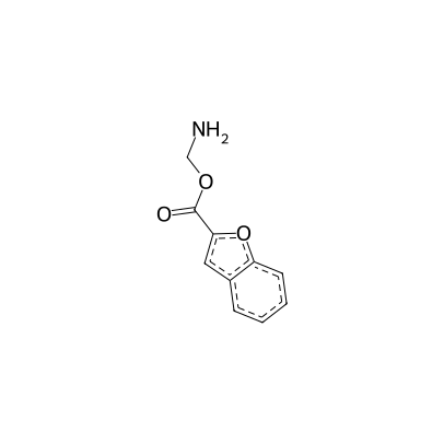 NCOC(=O)c1cc2ccccc2o1